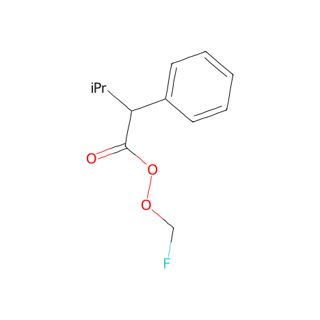 CC(C)C(C(=O)OOCF)c1ccccc1